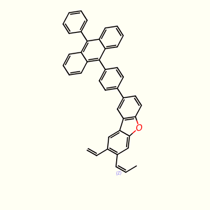 C=Cc1cc2c(cc1/C=C\C)oc1ccc(-c3ccc(-c4c5ccccc5c(-c5ccccc5)c5ccccc45)cc3)cc12